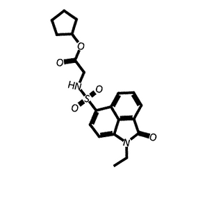 CCN1C(=O)c2cccc3c(S(=O)(=O)NCC(=O)OC4CCCC4)ccc1c23